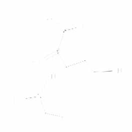 C=C(CCCC)C(=O)O.CCN(C)C